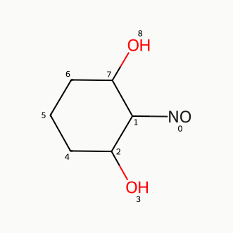 O=NC1C(O)CCCC1O